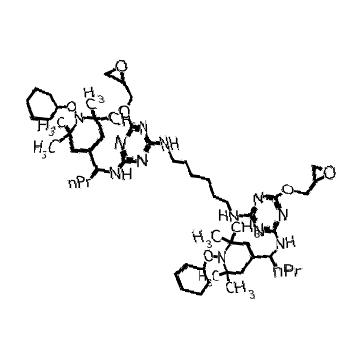 CCCC(Nc1nc(NCCCCCCNc2nc(NC(CCC)C3CC(C)(C)N(OC4CCCCC4)C(C)(C)C3)nc(OCC3CO3)n2)nc(OCC2CO2)n1)C1CC(C)(C)N(OC2CCCCC2)C(C)(C)C1